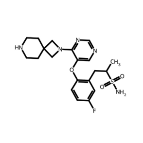 CC(Cc1cc(F)ccc1Oc1cncnc1N1CC2(CCNCC2)C1)S(N)(=O)=O